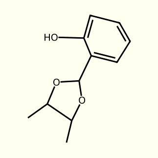 CC1OC(c2ccccc2O)OC1C